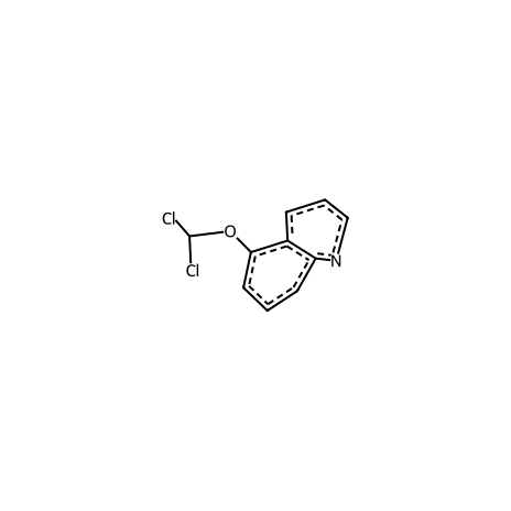 ClC(Cl)Oc1cccc2ncccc12